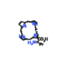 C1=Cc2cc3ccc(cc4nc(cc5ccc(cc1n2)[nH]5)C=C4)[nH]3.CC(C)[C@H](N)C(=O)O